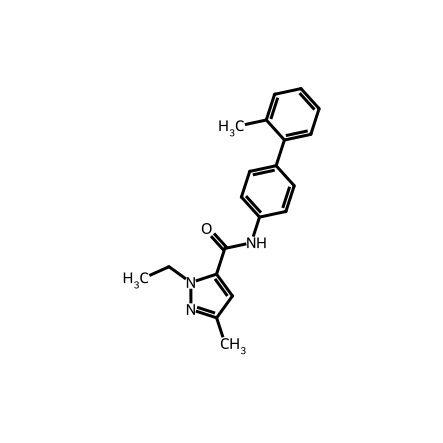 CCn1nc(C)cc1C(=O)Nc1ccc(-c2ccccc2C)cc1